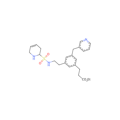 CCOC(=O)CCc1cc(CCNS(=O)(=O)C2CC=CCN2)cc(Cc2cccnc2)c1